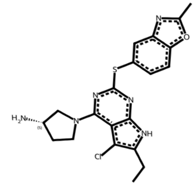 CCc1[nH]c2nc(Sc3ccc4oc(C)nc4c3)nc(N3CC[C@H](N)C3)c2c1Cl